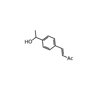 CC(=O)C=Cc1ccc(C(C)O)cc1